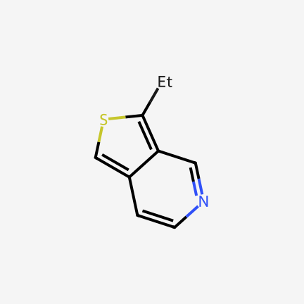 CCc1scc2ccncc12